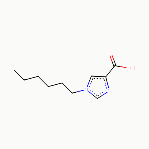 CCCCCCn1cnc(C(=O)O)c1